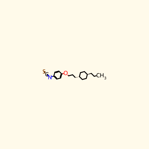 CCC[C@H]1CC[C@H](CCCOc2ccc(N=C=S)cc2)CC1